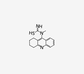 CN(C(=N)S)c1c2c(nc3ccccc13)CCCC2